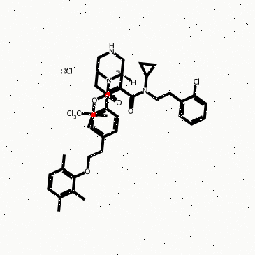 Cc1ccc(C)c(OCCc2ccc(C3=C(C(=O)N(CCc4ccccc4Cl)C4CC4)[C@H]4CNCC(C3)N4C(=O)OC(C)(C)C(Cl)(Cl)Cl)cc2)c1C.Cl